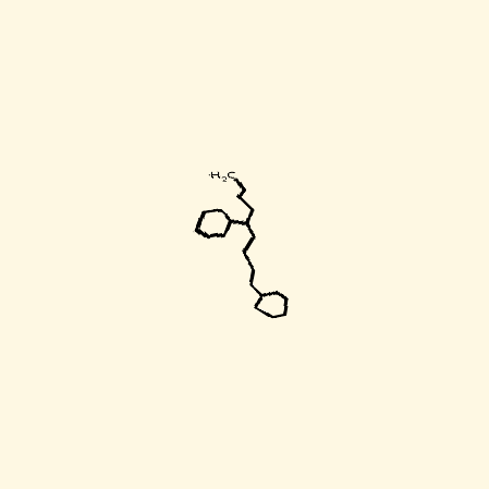 [CH2]CCCC(CCCCC1CCCCC1)C1CCCCC1